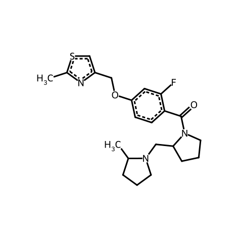 Cc1nc(COc2ccc(C(=O)N3CCCC3CN3CCCC3C)c(F)c2)cs1